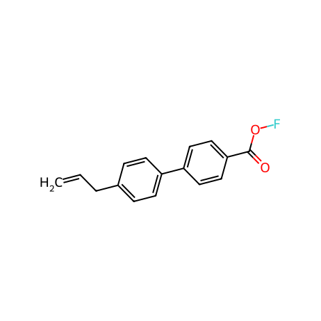 C=CCc1ccc(-c2ccc(C(=O)OF)cc2)cc1